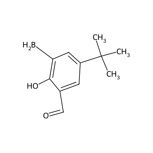 Bc1cc(C(C)(C)C)cc(C=O)c1O